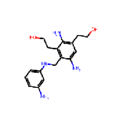 Nc1cccc(NCc2c(N)cc(CCO)c(N)c2CCO)c1